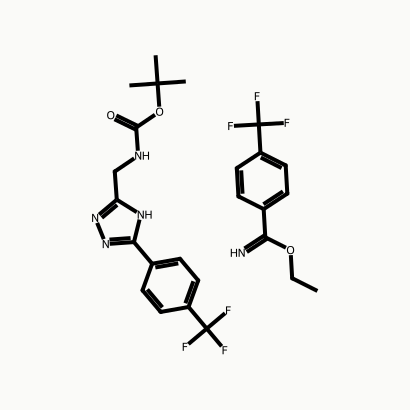 CC(C)(C)OC(=O)NCc1nnc(-c2ccc(C(F)(F)F)cc2)[nH]1.CCOC(=N)c1ccc(C(F)(F)F)cc1